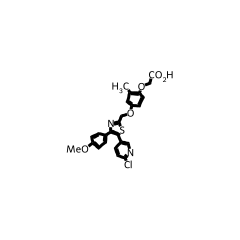 COc1ccc(-c2nc(COc3ccc(OCC(=O)O)c(C)c3)sc2-c2ccc(Cl)nc2)cc1